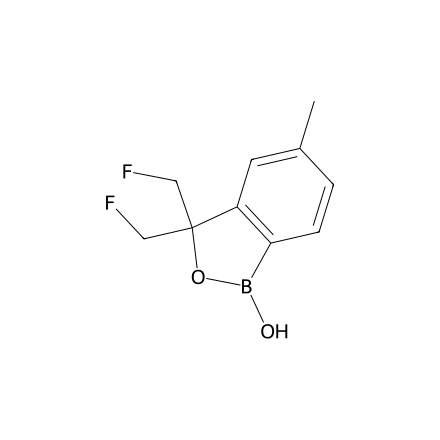 Cc1ccc2c(c1)C(CF)(CF)OB2O